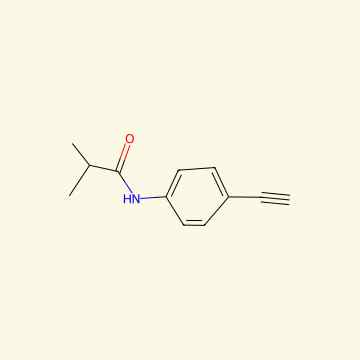 C#Cc1ccc(NC(=O)C(C)C)cc1